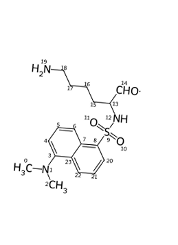 CN(C)c1cccc2c(S(=O)(=O)NC([C]=O)CCCCN)cccc12